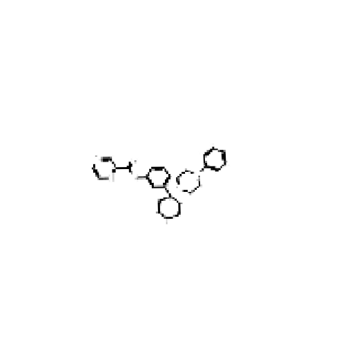 C[C@H]1CC[C@](c2cccc(NC(=O)c3cnccn3)c2)(N2CCN(c3ccccc3)CC2)CC1